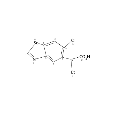 CCC(C(=O)O)c1cc2nc[se]c2cc1Cl